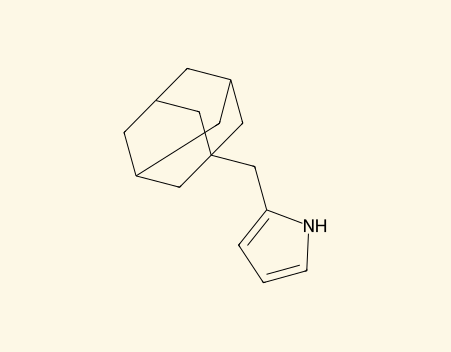 c1c[nH]c(CC23CC4CC(CC(C4)C2)C3)c1